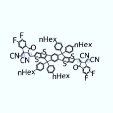 [C-]#[N+]/C(C#N)=C1\C(=C\c2cc3sc4c(c3s2)C(c2ccc(CCCCCC)cc2)(c2ccc(CCCCCC)cc2)c2cc3c(cc2-4)C(c2ccc(CCCCCC)cc2)(c2ccc(CCCCCC)cc2)c2c-3sc3cc(/C=C4\C(=O)c5cc(F)c(F)cc5\C4=C(\C#N)[N+]#[C-])sc23)C(=O)c2cc(F)c(F)cc21